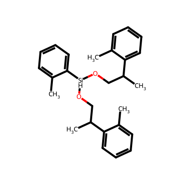 Cc1ccccc1C(C)CO[SiH](OCC(C)c1ccccc1C)c1ccccc1C